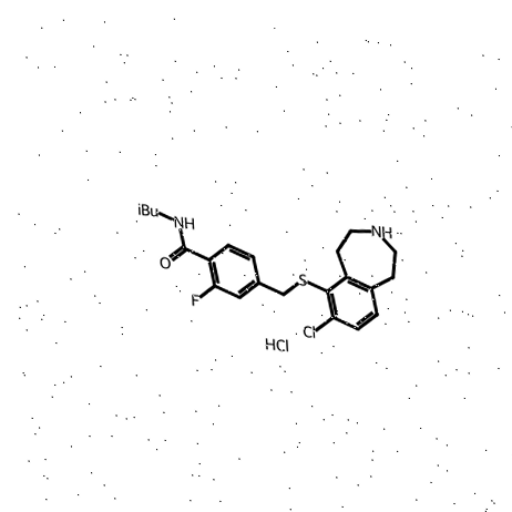 CCC(C)NC(=O)c1ccc(CSc2c(Cl)ccc3c2CCNCC3)cc1F.Cl